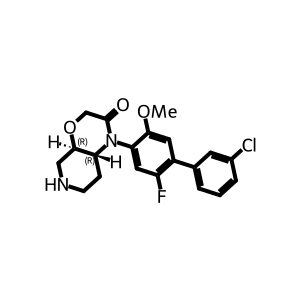 COc1cc(-c2cccc(Cl)c2)c(F)cc1N1C(=O)CO[C@@H]2CNCC[C@H]21